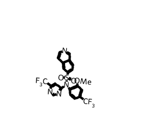 COc1cc(C(F)(F)F)ccc1N(c1cc(C(F)(F)F)ncn1)S(=O)(=O)c1ccc2cnccc2c1